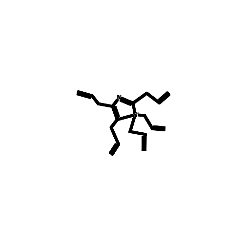 C=CCC1=NC(CC=C)=C(CC=C)[N+]1(CC=C)CC=C